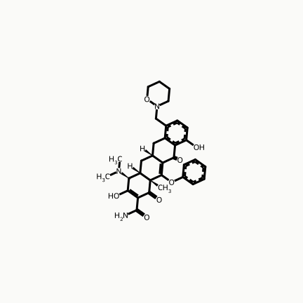 CN(C)[C@@H]1C(O)=C(C(N)=O)C(=O)[C@@]2(C)C(Oc3ccccc3)=C3C(=O)c4c(O)ccc(CN5CCCCO5)c4C[C@H]3C[C@@H]12